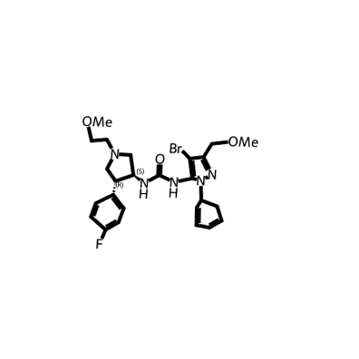 COCCN1C[C@@H](NC(=O)Nc2c(Br)c(COC)nn2C2C=CC=CC2)[C@H](c2ccc(F)cc2)C1